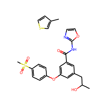 CC(O)Cc1cc(Oc2ccc(S(C)(=O)=O)cc2)cc(C(=O)Nc2ncco2)c1.Cc1ccsc1